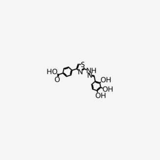 O=C(O)c1ccc(-c2csc(N/N=C/c3ccc(O)c(O)c3O)n2)cc1